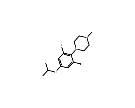 CC(C)Oc1cc(F)c(N2CCN(C)CC2)c(F)c1